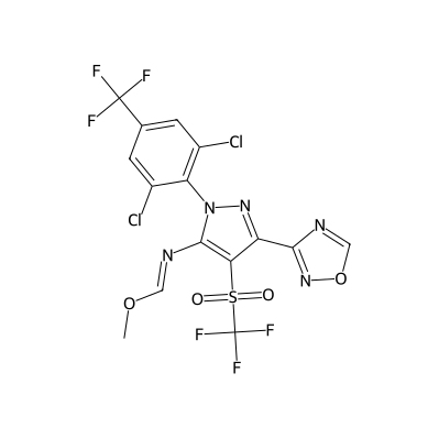 COC=Nc1c(S(=O)(=O)C(F)(F)F)c(-c2ncon2)nn1-c1c(Cl)cc(C(F)(F)F)cc1Cl